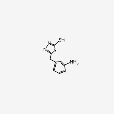 Nc1cccc(Cc2nnc(S)s2)c1